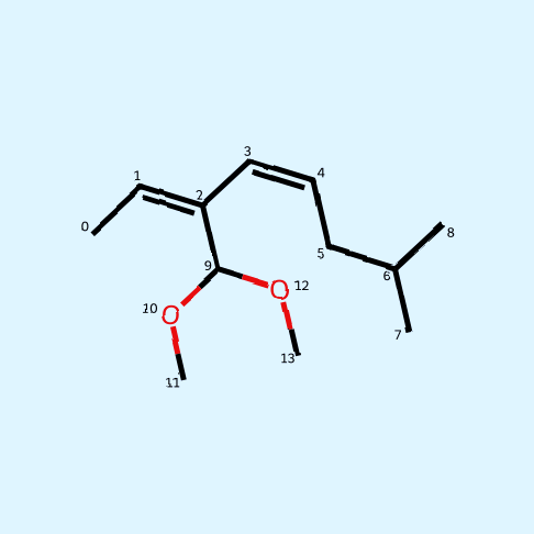 CC=C(/C=C\CC(C)C)C(OC)OC